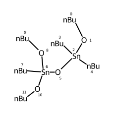 CCCC[O][Sn]([CH2]CCC)([CH2]CCC)[O][Sn]([CH2]CCC)([O]CCCC)[O]CCCC